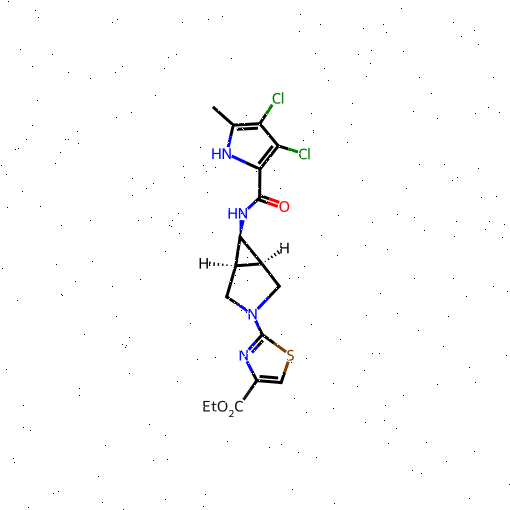 CCOC(=O)c1csc(N2C[C@@H]3[C@H](C2)[C@@H]3NC(=O)c2[nH]c(C)c(Cl)c2Cl)n1